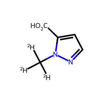 [2H]C([2H])([2H])n1nccc1C(=O)O